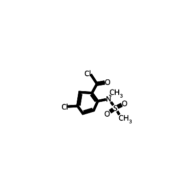 CN(c1ccc(Cl)cc1C(=O)Cl)S(C)(=O)=O